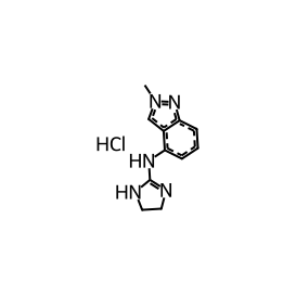 Cl.Cn1cc2c(NC3=NCCN3)cccc2n1